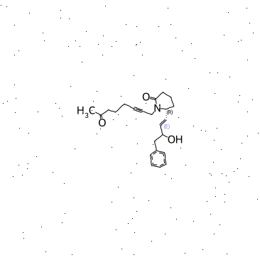 CC(=O)CCCC#CCN1C(=O)CCC[C@@H]1/C=C/C(O)Cc1ccccc1